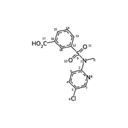 CN(c1ccc(Cl)cn1)S(=O)(=O)c1cccc(C(=O)O)c1